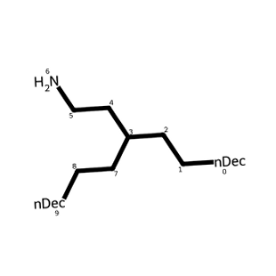 CCCCCCCCCCCCC(CCN)CCCCCCCCCCCC